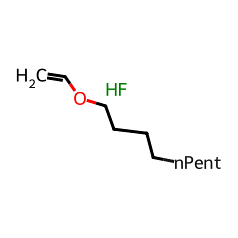 C=COCCCCCCCCC.F